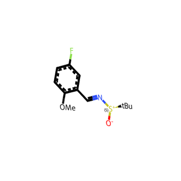 COc1ccc(F)cc1C=N[S@+]([O-])C(C)(C)C